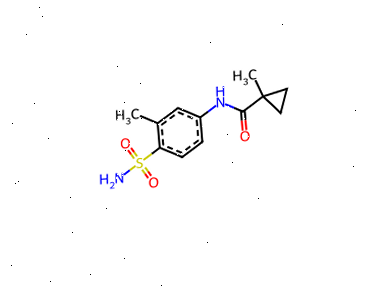 Cc1cc(NC(=O)C2(C)CC2)ccc1S(N)(=O)=O